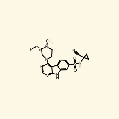 CN1CCN(c2ncnc3[nH]c4cc(S(=O)(=O)NC5(C#N)CC5)ccc4c23)C[C@@H]1CF